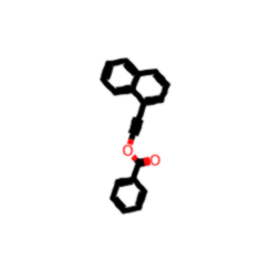 O=C(OC#Cc1cccc2ccccc12)c1ccccc1